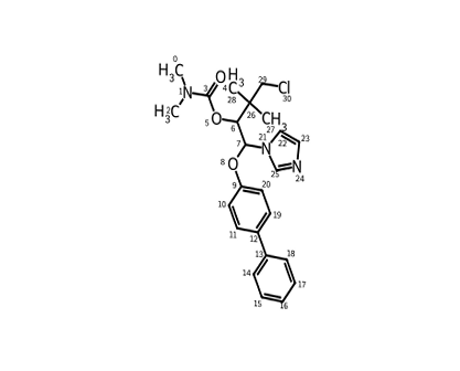 CN(C)C(=O)OC(C(Oc1ccc(-c2ccccc2)cc1)n1ccnc1)C(C)(C)CCl